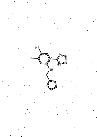 Sc1cc(-c2nnn[nH]2)c(NCc2cccs2)cc1Cl